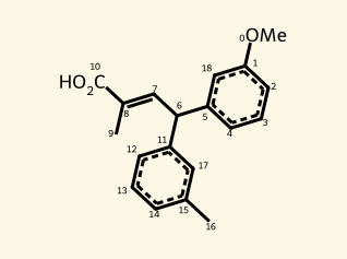 COc1cccc(C(C=C(C)C(=O)O)c2cccc(C)c2)c1